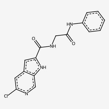 O=C(CNC(=O)c1cc2cc(Cl)ncc2[nH]1)Nc1ccccc1